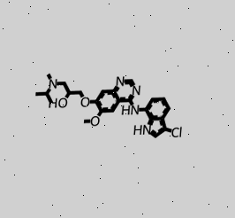 COc1cc2c(Nc3cccc4c(Cl)c[nH]c34)ncnc2cc1OCC(O)CN(C)C(C)C